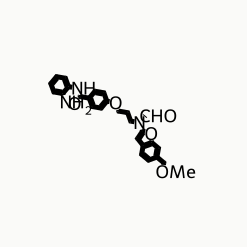 COCc1ccc2cc(N(C=O)CCCOc3ccc(C(=O)Nc4ccccc4N)cc3)oc2c1